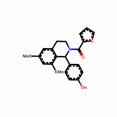 COc1cc2c(c(OC)c1)C(c1ccc(O)cc1)N(C(=O)c1cccs1)CC2